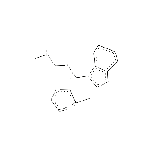 CNC[C@H](O)[C@@H](c1ccccc1C)n1ccc2ccccc21.Cl